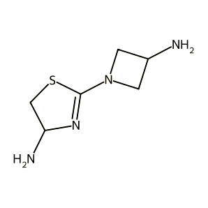 NC1CN(C2=NC(N)CS2)C1